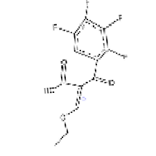 CCO/C=C(\C(=O)O)C(=O)c1cc(F)c(F)c(F)c1F